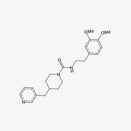 COc1ccc(CCNC(=O)N2CCC(Cc3cccnc3)CC2)cc1OC